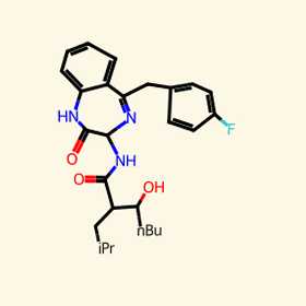 CCCCC(O)C(CC(C)C)C(=O)NC1N=C(Cc2ccc(F)cc2)c2ccccc2NC1=O